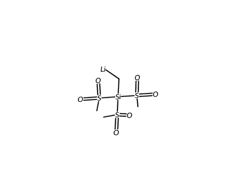 [Li][CH2][Si](S(C)(=O)=O)(S(C)(=O)=O)S(C)(=O)=O